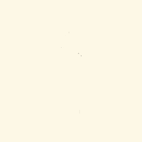 O=c1c2ccccc2c2cc(Cl)ccc2n1-c1ccccc1